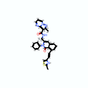 Cc1nc(C#Cc2cccc3cc([C@H](C)NC(=O)c4c(C)nn5cccnc45)n(-c4ccccc4)c(=O)c23)cs1